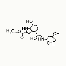 CCOC(=O)c1cc2c(C(O)CNC(C)CC(=O)O)ccc(O)c2[nH]1